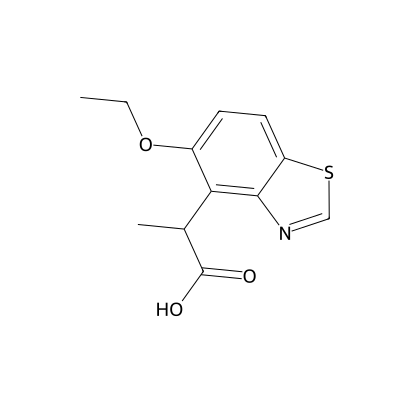 CCOc1ccc2scnc2c1C(C)C(=O)O